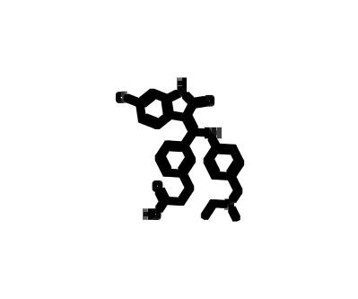 CCN(C)Cc1ccc(N/C(=C2\C(=O)Nc3cc(Cl)ccc32)c2cccc(CCC(=O)O)c2)cc1